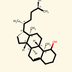 CC(C)[C@@H](C)CC[C@@H](C)[C@H]1CC[C@H]2[C@@H]3CC=C4CCCC(O)[C@]4(C)[C@H]3CC[C@]12C